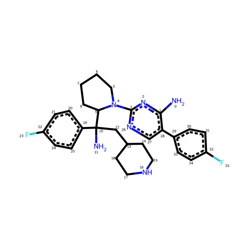 Nc1nc(N2CCCCC2C(N)(CC2CCNCC2)c2ccc(F)cc2)ncc1-c1ccc(F)cc1